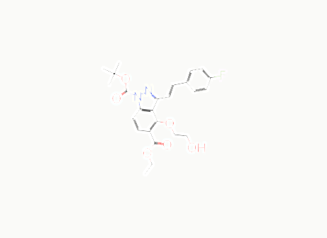 CCOC(=O)c1ccc2c(c(C=Cc3ccc(F)cc3)nn2C(=O)OC(C)(C)C)c1OCCO